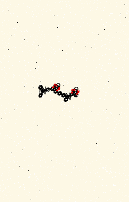 c1ccc(-c2nc(-c3ccccc3)nc(-c3ccc(-c4ccc5c(c4)-c4ccc(-c6ccc(-c7ccc(-c8nc(-c9ccc%10c(c9)-c9ccccc9C%109c%10ccccc%10Oc%10ccccc%109)nc9ccccc89)cc7)cc6)cc4C54c5ccccc5Oc5ccccc54)cc3)n2)cc1